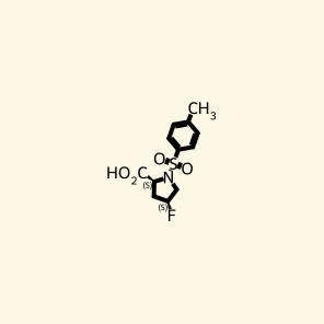 Cc1ccc(S(=O)(=O)N2C[C@@H](F)C[C@H]2C(=O)O)cc1